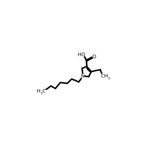 CCCCCCCN1CC(CC)=C(C(=O)O)C1